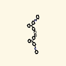 C(=C\c1ccc(C(c2ccccc2)c2ccc(OCOc3ccc(N(c4ccccc4)c4ccc(/C=C/c5ccccc5)cc4)cc3)cc2)cc1)/c1ccccc1